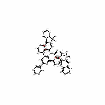 CC1(C)c2ccccc2-c2ccc(N(c3ccc4c(c3)-c3cc5ccccc5cc3C4(C)C)c3c(-c4ccccc4)cc(-c4ccccc4)cc3-c3ccccc3)cc21